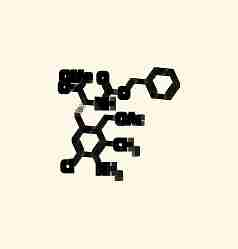 COC(=O)[C@@H](Cc1cc(Cl)c(N)c(C)c1COC(C)=O)NC(=O)OCc1ccccc1